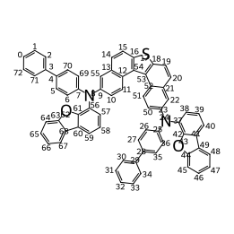 c1ccc(-c2ccc(N(c3ccc4c(ccc5sc6ccc7cc(N(c8ccc(-c9ccccc9)cc8)c8cccc9c8oc8ccccc89)ccc7c6c54)c3)c3cccc4c3oc3ccccc34)cc2)cc1